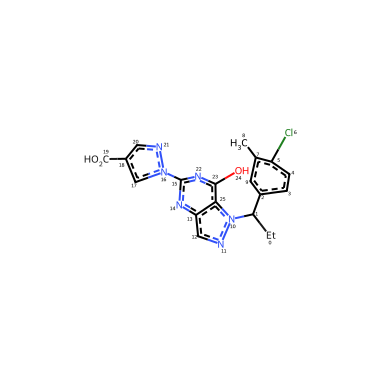 CCC(c1ccc(Cl)c(C)c1)n1ncc2nc(-n3cc(C(=O)O)cn3)nc(O)c21